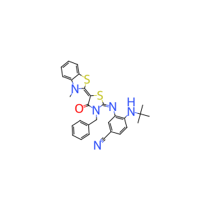 CN1C(=C2SC(=Nc3cc(C#N)ccc3NC(C)(C)C)N(Cc3ccccc3)C2=O)Sc2ccccc21